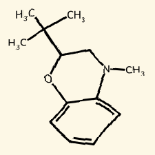 CN1CC(C(C)(C)C)Oc2ccccc21